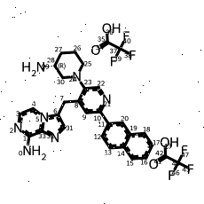 Nc1nccn2c(Cc3cc(-c4ccc5ccccc5c4)ncc3N3CCC[C@@H](N)C3)cnc12.O=C(O)C(F)(F)F.O=C(O)C(F)(F)F